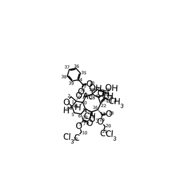 CC(=O)O[C@@]12CO[C@@H]1C[C@H](C(=O)OCC(Cl)(Cl)Cl)[C@@]1(C)C(=O)[C@H](C(=O)OCC(Cl)(Cl)Cl)C3=C(C)[C@@H](O)C[C@@](O)([C@@H](OC(=O)c4ccccc4)[C@H]21)C3(C)C